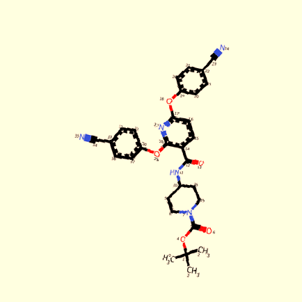 CC(C)(C)OC(=O)N1CCC(NC(=O)c2ccc(Oc3ccc(C#N)cc3)nc2Oc2ccc(C#N)cc2)CC1